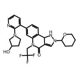 O=C1C2=CN(C3CCCCO3)NC2c2ccc(-c3cccnc3N3CCC(O)C3)cc2N1CC(F)(F)F